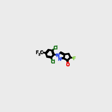 O=C1c2nn(-c3c(Cl)cc(C(F)(F)F)cc3Cl)cc2CC1F